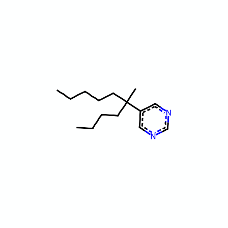 CCCCCC(C)(CCCC)c1cncnc1